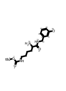 CC(C)(C)OC(=O)NCCCCC(N)C(=O)NCc1cccc(Cl)c1